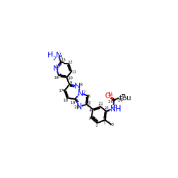 Cc1ccc(-c2cn3nc(-c4ccc(N)nc4)ccc3n2)cc1NC(=O)C(C)(C)C